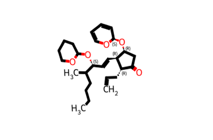 C=CC[C@H]1C(=O)C[C@@H](O[C@@H]2C=CC=CO2)[C@@H]1C=C[C@@H](OC1CCCCO1)C(C)CCCC